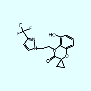 O=C1N(CCn2ccc(C(F)(F)F)n2)c2c(O)cccc2OC12CC2